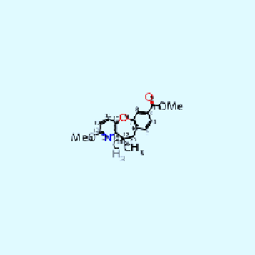 COC(=O)c1ccc2c(c1)Oc1ccc(OC)nc1C(C)(C)C2